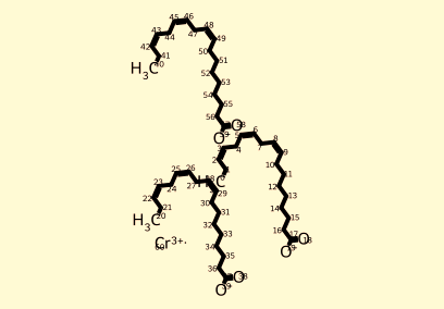 CC/C=C\C/C=C\C/C=C\CCCCCCCC(=O)[O-].CC/C=C\C/C=C\C/C=C\CCCCCCCC(=O)[O-].CC/C=C\C/C=C\C/C=C\CCCCCCCC(=O)[O-].[Cr+3]